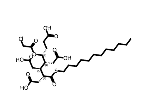 CCCCCCCCCCCCSC(=O)[C@H](CC(=O)O)[C@@H](CC(=O)O)[C@@H](CC(=O)O)[C@@H](CCC(=O)O)OC(=O)CCl